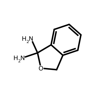 NC1(N)OCc2ccccc21